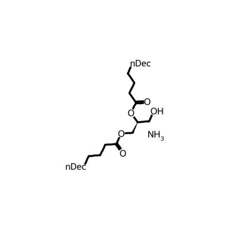 CCCCCCCCCCCCCC(=O)OC[C@H](CO)OC(=O)CCCCCCCCCCCCC.N